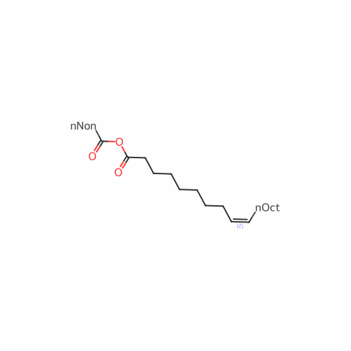 CCCCCCCC/C=C\CCCCCCCC(=O)OC(=O)CCCCCCCCC